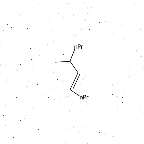 CCC/C=C/C(C)CCC